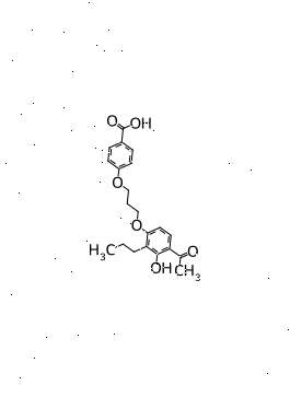 CCCc1c(OCCCOc2ccc(C(=O)O)cc2)ccc(C(C)=O)c1O